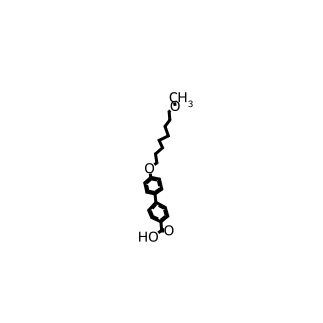 COCCCCCCCCOc1ccc(-c2ccc(C(=O)O)cc2)cc1